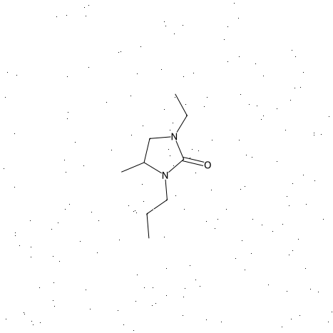 CCCN1C(=O)N(CC)CC1C